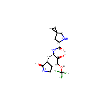 O=C1NCC[C@H]1C[C@H](NC(=O)[C@@H]1CC2(CC2)CN1)C(=O)COC(F)(F)F